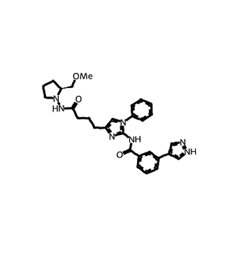 COC[C@@H]1CCCN1NC(=O)CCCc1cn(-c2ccccc2)c(NC(=O)c2cccc(-c3cn[nH]c3)c2)n1